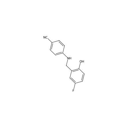 N#Cc1ccc(NCc2cc(F)ccc2O)cc1